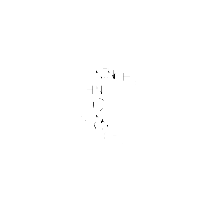 Cn1ccnc1CNc1ccc(-n2nc(C(F)(F)F)cc2C2CC2)cc1